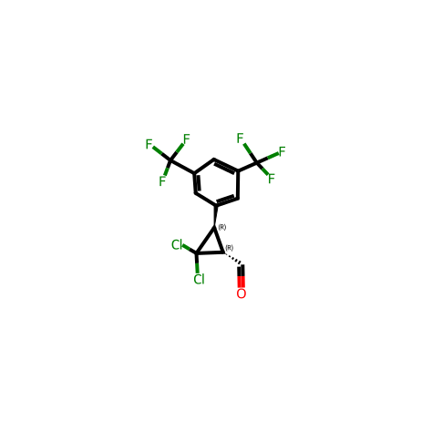 O=C[C@H]1[C@H](c2cc(C(F)(F)F)cc(C(F)(F)F)c2)C1(Cl)Cl